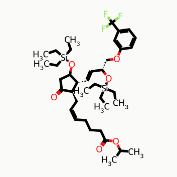 CC[Si](CC)(CC)OC1CC(=O)[C@H](C/C=C\CCCC(=O)OC(C)C)[C@H]1/C=C/[C@H](COc1cccc(C(F)(F)F)c1)O[Si](CC)(CC)CC